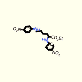 CCOC(=O)C(CCCCNc1ccc([N+](=O)[O-])cc1)Nc1ccc([N+](=O)[O-])cc1